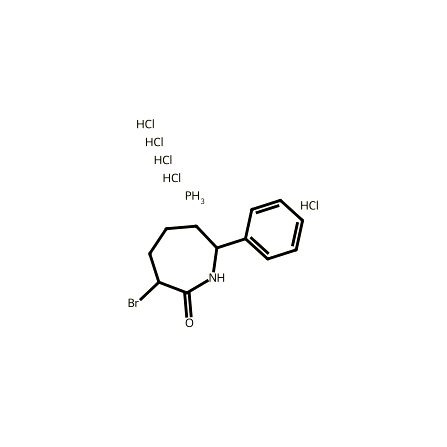 Cl.Cl.Cl.Cl.Cl.O=C1NC(c2ccccc2)CCCC1Br.P